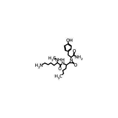 CCCCC(NC(=O)C(CCCCN)NC)C1C(=O)N1C(Cc1ccc(O)cc1)C(N)=O